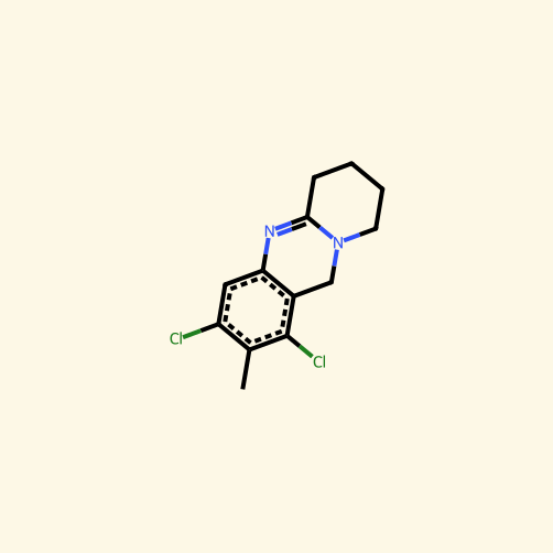 Cc1c(Cl)cc2c(c1Cl)CN1CCCCC1=N2